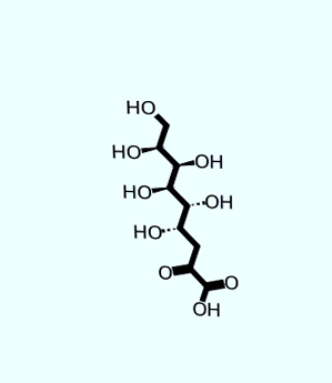 O=C(O)C(=O)C[C@H](O)[C@@H](O)[C@@H](O)[C@H](O)[C@@H](O)CO